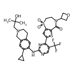 CC(C)(O)CN1CCc2cc(Nc3ncc(C(F)(F)F)c(-c4cc5c(s4)C(=O)N(C4COC4)CCS5(=O)=O)n3)c(C3CC3)cc2C1